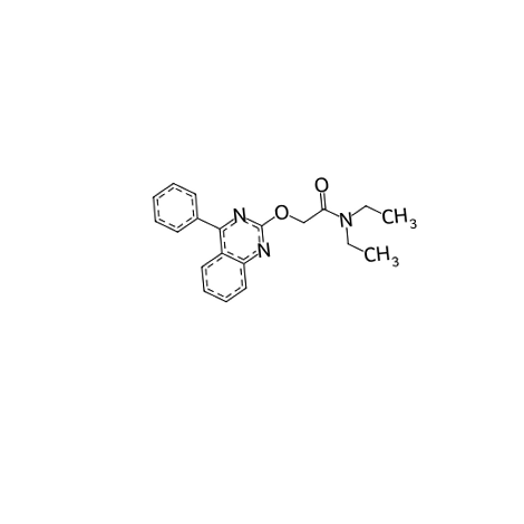 CCN(CC)C(=O)COc1nc(-c2ccccc2)c2ccccc2n1